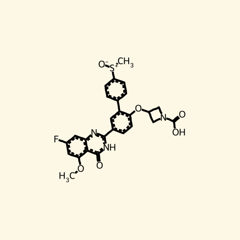 COc1cc(F)cc2nc(-c3ccc(OC4CN(C(=O)O)C4)c(-c4ccc([S+](C)[O-])cc4)c3)[nH]c(=O)c12